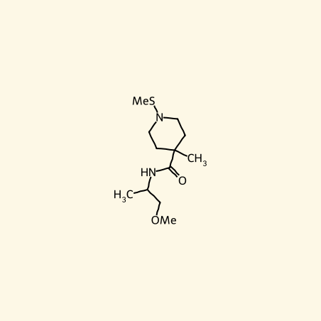 COCC(C)NC(=O)C1(C)CCN(SC)CC1